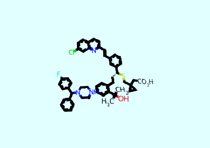 CC(C)(O)c1ccccc1CC[C@@H](SCC1(CC(=O)O)CC1)c1cccc(C=Cc2ccc3ccc(Cl)cc3n2)c1.Fc1ccc(C(c2ccccc2)N2CCNCC2)cc1